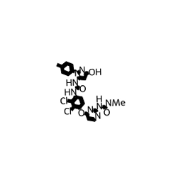 CNC(=O)Nc1nccc(Oc2ccc(NC(=O)Nc3cc(O)nn3-c3ccc(C)cc3)c(Cl)c2Cl)n1